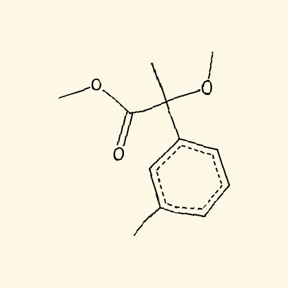 COC(=O)C(C)(OC)c1cccc(C)c1